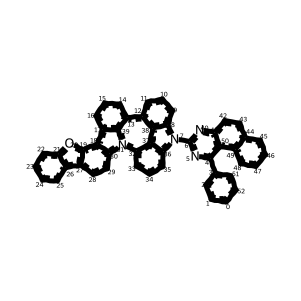 c1ccc(-c2nc(-n3c4cccc5c6cccc7c8c9oc%10ccccc%10c9ccc8n(c8cccc3c8c54)c67)nc3ccc4ccccc4c23)cc1